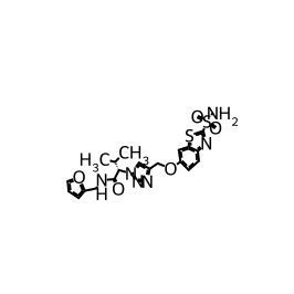 CC(C)[C@@H](C(=O)NCc1ccco1)n1cc(COc2ccc3nc(S(N)(=O)=O)sc3c2)nn1